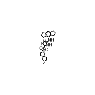 CN1CCC2(CCN(S(=O)(=O)c3nnc(Nc4c5c(cc6c4CCC6)CCC5)[nH]3)C2)C1